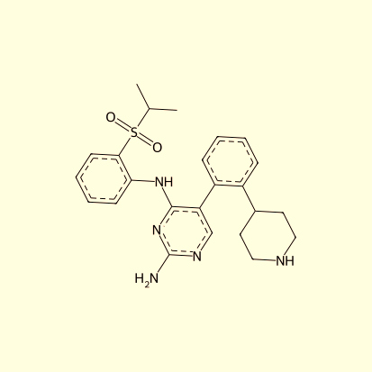 CC(C)S(=O)(=O)c1ccccc1Nc1nc(N)ncc1-c1ccccc1C1CCNCC1